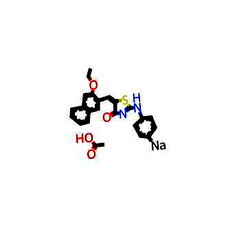 CC(=O)O.CCOc1cc2ccccc2cc1C=C1SC(Nc2cc[c]([Na])cc2)=NC1=O